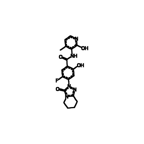 Cc1ccnc(O)c1NC(=O)c1cc(F)c(-n2nc3n(c2=O)CCCC3)cc1O